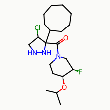 CC(C)O[C@H]1CCN(C(=O)C2(C3CCCCCCC3)NNCC2Cl)C[C@H]1F